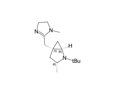 C[C@@H]1C[C@@]2(CC3=NCCN3C)C[C@H]2N1C(C)(C)C